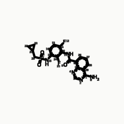 Nc1ncnc2c(C(=O)Nc3c(F)ccc(NS(=O)(=O)CC4CC4)c3F)cccc12